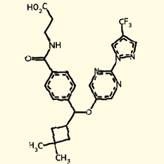 CC1(C)CC(C(Oc2cnc(-n3cc(C(F)(F)F)cn3)nc2)c2ccc(C(=O)NCCC(=O)O)cc2)C1